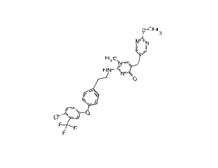 COc1ncc(Cc2cn(C)c(NCCc3ccc(Oc4ccc(Cl)c(C(F)(F)F)c4)cc3)nc2=O)cn1